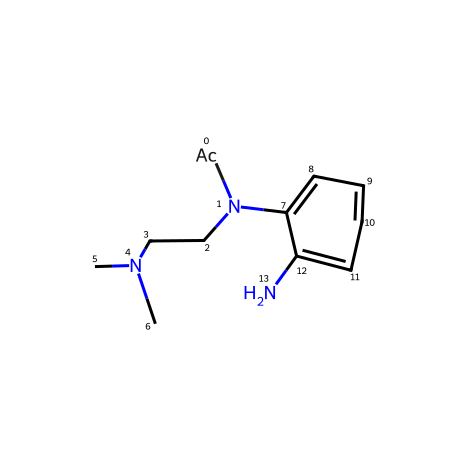 CC(=O)N(CCN(C)C)c1ccccc1N